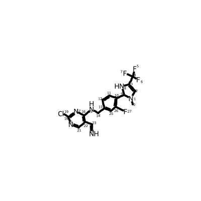 CN1C=C(C(F)(F)F)NC1c1ccc(CNc2nc(Cl)ncc2C=N)cc1F